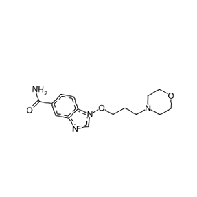 NC(=O)c1ccc2c(c1)ncn2OCCCN1CCOCC1